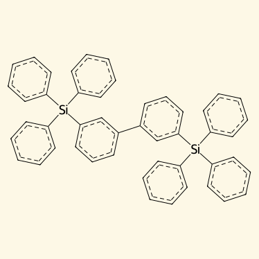 c1ccc([Si](c2ccccc2)(c2ccccc2)c2cccc(-c3cccc([Si](c4ccccc4)(c4ccccc4)c4ccccc4)c3)c2)cc1